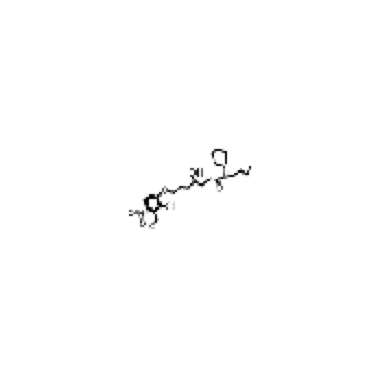 CCCCN(C(=O)CCC(O)CCCOc1ccc([N+](=O)[O-])c(C=O)c1Cl)C1CCCCC1